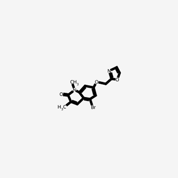 Cc1cc2c(Br)cc(OCc3ncco3)cc2n(C)c1=O